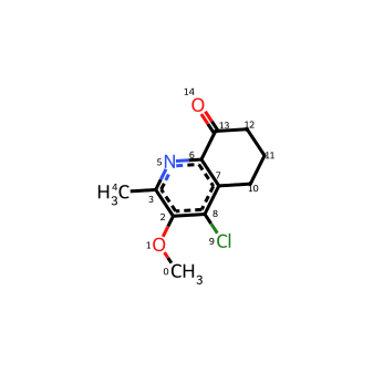 COc1c(C)nc2c(c1Cl)CCCC2=O